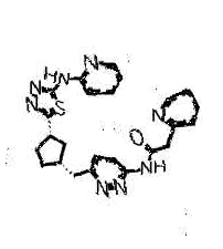 O=C(Cc1ccccn1)Nc1ccc(C[C@@H]2CC[C@H](c3nnc(Nc4ccccn4)s3)C2)nn1